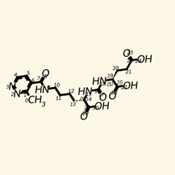 Cc1nnccc1C(=O)NCCCC[C@H](NC(=O)N[C@@H](CCC(=O)O)C(=O)O)C(=O)O